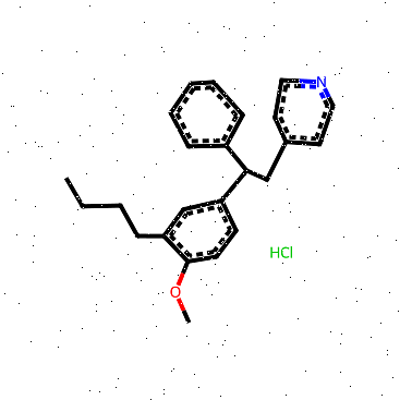 CCCCc1cc(C(Cc2ccncc2)c2ccccc2)ccc1OC.Cl